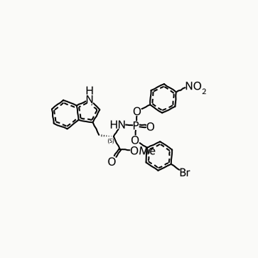 COC(=O)[C@H](Cc1c[nH]c2ccccc12)NP(=O)(Oc1ccc(Br)cc1)Oc1ccc([N+](=O)[O-])cc1